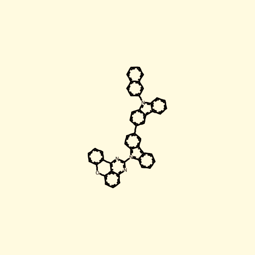 c1ccc2c(c1)Oc1cccc3nc(-n4c5ccccc5c5cc(-c6ccc7c(c6)c6ccccc6n7-c6ccc7ccccc7c6)ccc54)nc-2c13